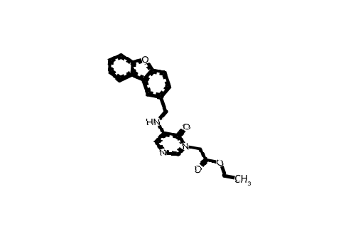 CCOC(=O)Cn1cncc(NCc2ccc3oc4ccccc4c3c2)c1=O